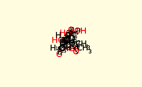 CC(C)(C)C(=O)O.C[C@]12C=CC(=O)C=C1CC[C@@H]1[C@@H]2[C@@H](O)C[C@@]2(C)[C@H]1CC[C@]2(O)C(=O)CO